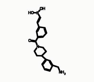 NCc1cccc(C2CCN(C(=O)c3cccc(C=CB(O)O)c3)CC2)c1